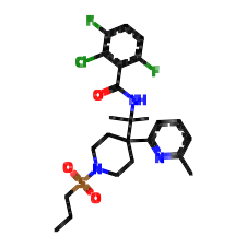 CCCS(=O)(=O)N1CCC(c2cccc(C)n2)(C(C)(C)NC(=O)c2c(F)ccc(F)c2Cl)CC1